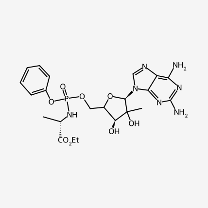 CCOC(=O)[C@H](C)NP(=O)(OCC1O[C@@H](n2cnc3c(N)nc(N)nc32)C(C)(O)[C@H]1O)Oc1ccccc1